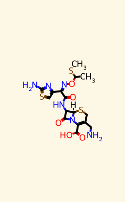 CSC(C)O/N=C(\C(=O)NC1C(=O)N2C(C(=O)O)=C(CN)CS[C@H]12)c1csc(N)n1